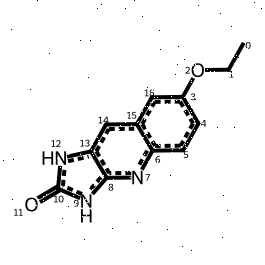 CCOc1ccc2nc3[nH]c(=O)[nH]c3cc2c1